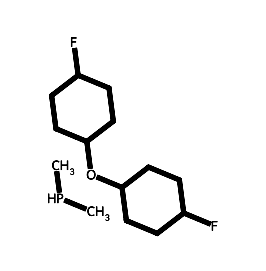 CPC.FC1CCC(OC2CCC(F)CC2)CC1